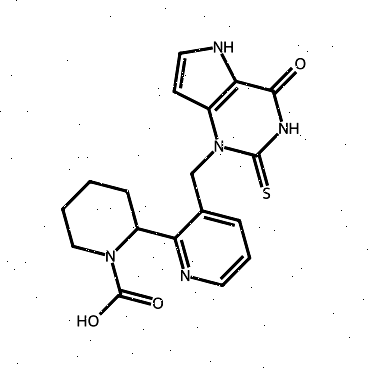 O=C(O)N1CCCCC1c1ncccc1Cn1c(=S)[nH]c(=O)c2[nH]ccc21